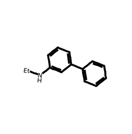 CCNc1cccc(-c2ccccc2)c1